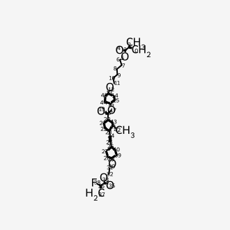 C=C(C)C(=O)OCCCCCCOc1ccc(OC(=O)c2ccc(C#Cc3ccc(OCCOC(=O)C(=C)F)cc3)c(C)c2)cc1